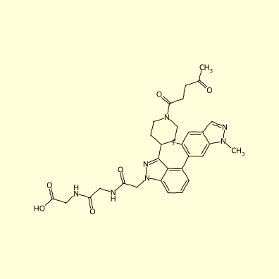 CC(=O)CCC(=O)N1CCC(c2nn(CC(=O)NCC(=O)NCC(=O)O)c3cccc(-c4cc5c(cnn5C)cc4F)c23)CC1